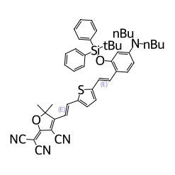 CCCCN(CCCC)c1ccc(/C=C/c2ccc(/C=C/C3=C(C#N)C(=C(C#N)C#N)OC3(C)C)s2)c(O[Si](c2ccccc2)(c2ccccc2)C(C)(C)C)c1